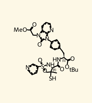 COC(=O)Cn1c(=O)n(-c2ccc(C[C@H](NC(=O)[C@@H](NS(=O)(=O)c3cccnc3)C(C)(C)S)C(=O)OC(C)(C)C)cc2)c2ncccc21